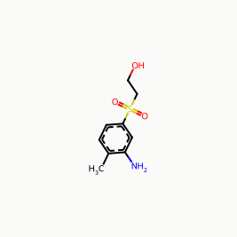 Cc1ccc(S(=O)(=O)CCO)cc1N